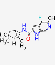 Cc1ncc2[nH]c(C(=O)N[C@H]3C4C[C@@H]([C@@H]3C)C(C)(C)C4)cc2c1F